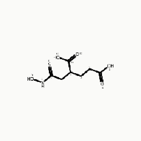 O=C(O)CCC(CC(=S)NO)C(=O)O